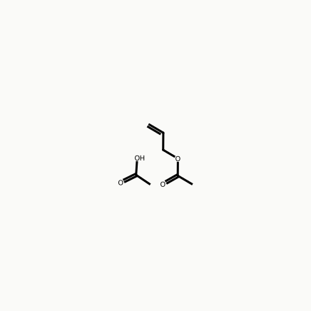 C=CCOC(C)=O.CC(=O)O